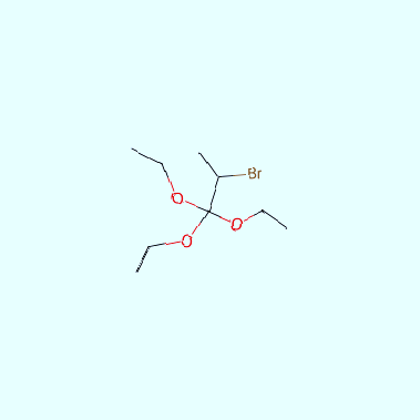 CCOC(OCC)(OCC)C(C)Br